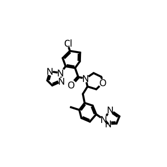 Cc1ccc(-n2nccn2)cc1CC1COCCN1C(=O)c1ccc(Cl)cc1-n1nccn1